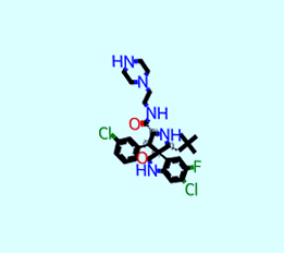 CC(C)(C)C[C@H]1N[C@@H](C(=O)NCCN2CCNCC2)[C@H](c2cccc(Cl)c2)[C@@]12C(=O)Nc1cc(Cl)c(F)cc12